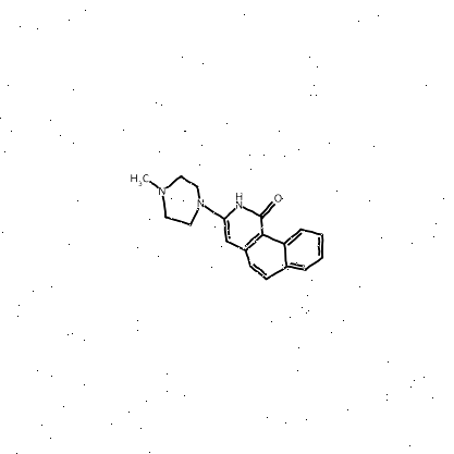 CN1CCN(c2cc3ccc4ccccc4c3c(=O)[nH]2)CC1